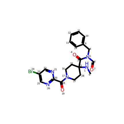 CNC1(C(=O)N(C=O)Cc2ccccc2)CCN(C(=O)c2ncc(Br)cn2)CC1